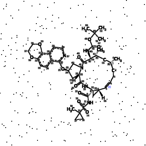 C[C@@H]1CC/C=C\[C@@H]2C[C@@]2(C(=O)NS(=O)(=O)C2(C)CC2)NC(=O)[C@@H]2C[C@@H](Oc3nccc4c5c(ccc34)OCCO5)CN2C(=O)[C@@H](NC(=O)OC(C)(C)C)[C@H](C)C1